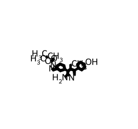 CCc1c(-c2ccc(O)cc2)cnc(N)c1-c1ccc2c(cnn2C(=O)OC(C)(C)C)c1